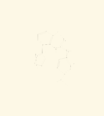 CC(C)c1ccc(NC2=NSc3cccc(-c4ccn(C)n4)c3N2)cc1